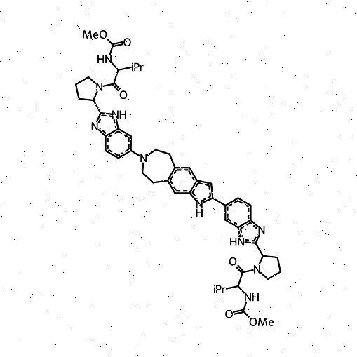 COC(=O)NC(C(=O)N1CCCC1c1nc2ccc(-c3cc4cc5c(cc4[nH]3)CCN(c3ccc4nc(C6CCCN6C(=O)C(NC(=O)OC)C(C)C)[nH]c4c3)CC5)cc2[nH]1)C(C)C